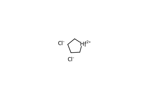 C1C[CH2][Hf+2][CH2]1.[Cl-].[Cl-]